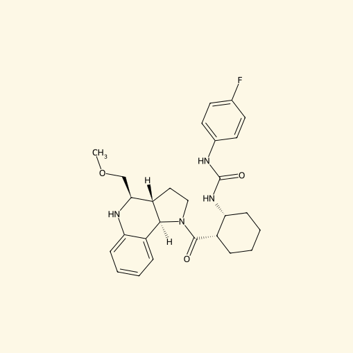 COC[C@@H]1Nc2ccccc2[C@H]2[C@H]1CCN2C(=O)[C@H]1CCCC[C@H]1NC(=O)Nc1ccc(F)cc1